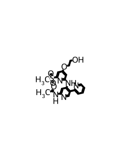 CC(=O)Nc1cc(Nc2cc(OCCO)cc(S(C)(=O)=O)n2)c(-c2ccccn2)cn1